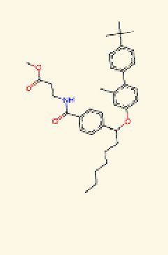 CCCCCCC(Oc1ccc(-c2ccc(C(C)(C)C)cc2)c(C)c1)c1ccc(C(=O)NCCC(=O)OC)cc1